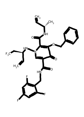 C=C[C@H](C)NC(=O)c1c(OCc2ccccc2)c(=O)c(C(=O)NCc2c(F)cc(F)cc2F)cn1N[C@@H](C=C)CC(F)(F)F